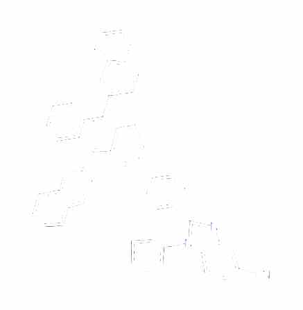 N#Cc1ccc2c(c1)nc(-c1ccc(-c3ccc4c(-c5ccc6ccccc6c5)c5ccccc5c(-c5ccc6ccccc6c5)c4c3)cc1)n2-c1ccccc1